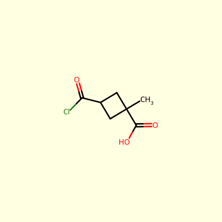 CC1(C(=O)O)CC(C(=O)Cl)C1